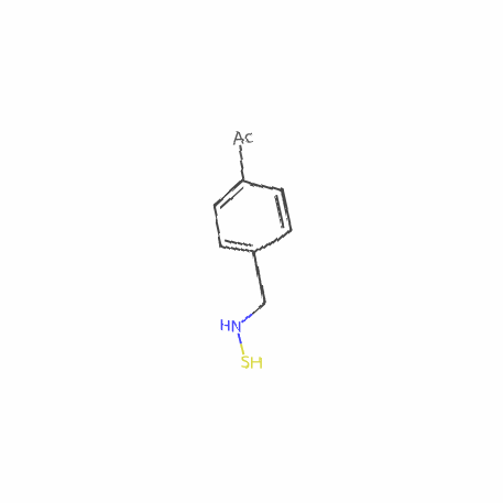 CC(=O)c1ccc(CNS)cc1